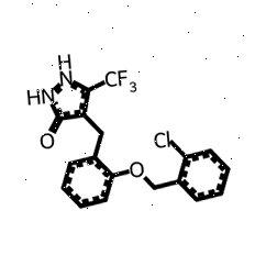 O=c1[nH][nH]c(C(F)(F)F)c1Cc1ccccc1OCc1ccccc1Cl